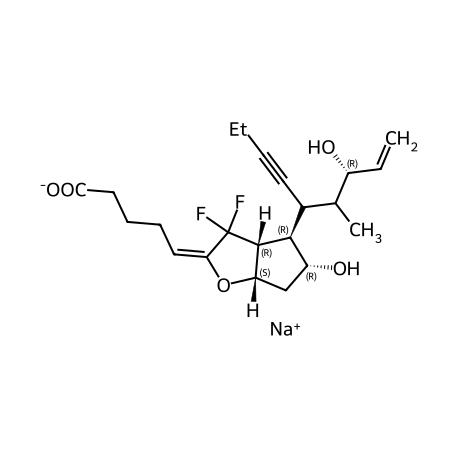 C=C[C@@H](O)C(C)C(C#CCC)[C@@H]1[C@@H]2[C@H](C[C@H]1O)OC(=CCCCC(=O)[O-])C2(F)F.[Na+]